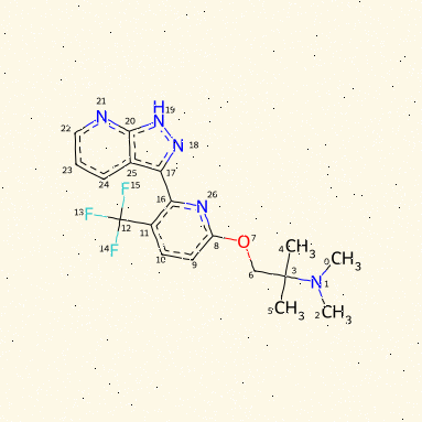 CN(C)C(C)(C)COc1ccc(C(F)(F)F)c(-c2n[nH]c3ncccc23)n1